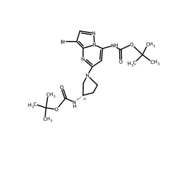 CC(C)(C)OC(=O)Nc1cc(N2CC[C@H](NC(=O)OC(C)(C)C)C2)nc2c(Br)cnn12